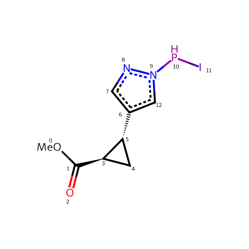 COC(=O)[C@@H]1C[C@H]1c1cnn(PI)c1